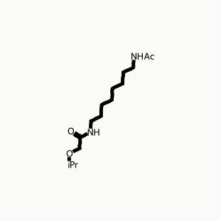 CC(=O)NCCCCCCCCNC(=O)COC(C)C